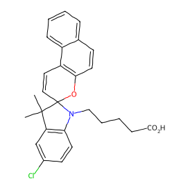 CC1(C)c2cc(Cl)ccc2N(CCCCC(=O)O)C12C=Cc1c(ccc3ccccc13)O2